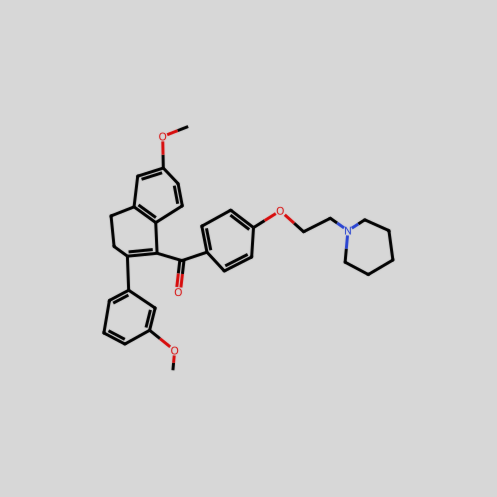 COc1cccc(C2=C(C(=O)c3ccc(OCCN4CCCCC4)cc3)c3ccc(OC)cc3CC2)c1